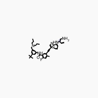 C=C/C(=C\N)Nc1cccn2c(C#Cc3cc(C(=O)Nc4cc(CN(CCC)CCC)cc(C(C)(C)C)c4)c(F)cc3C)cnc12